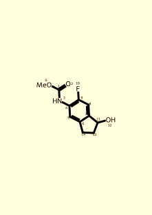 COC(=O)Nc1cc2c(cc1F)C(O)CC2